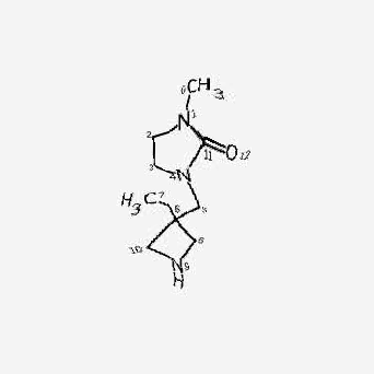 CN1CCN(CC2(C)CNC2)C1=O